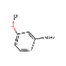 CC(=O)Nc1cccc(OC(F)(F)F)c1